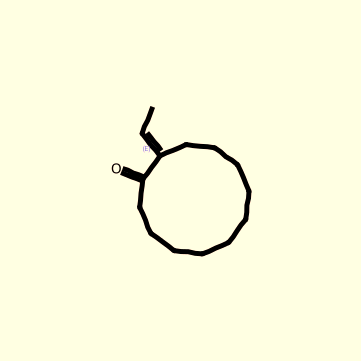 C/C=C1\CCCCCCCCCCC1=O